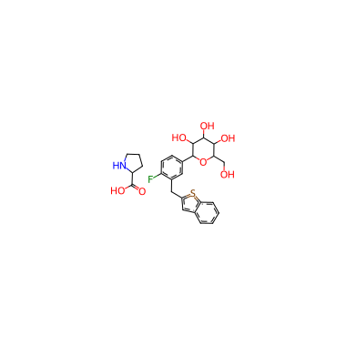 O=C(O)C1CCCN1.OCC1OC(c2ccc(F)c(Cc3cc4ccccc4s3)c2)C(O)C(O)C1O